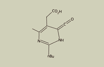 CCCCC1=NC(C)=C(CC(=O)O)C(=C=O)N1